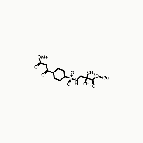 COC(=O)CC(=O)C1CCC(S(=O)(=O)NCC(C)(C)C(=O)OC(C)(C)C)CC1